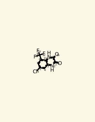 O=c1[nH]c2cc(Cl)cc(C(F)(F)F)c2[nH]c1=O